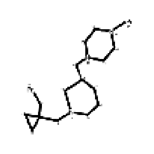 CC(C)CC1(CN2CCC[C@H](CN3CCN(C(C)C)CC3)C2)CC1